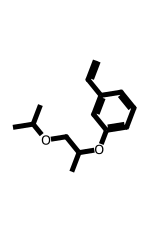 C=Cc1cccc(OC(C)COC(C)C)c1